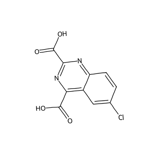 O=C(O)c1nc(C(=O)O)c2cc(Cl)ccc2n1